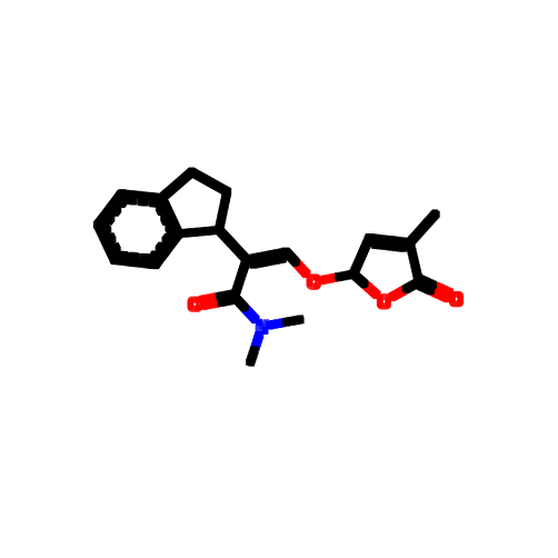 CC1=CC(O/C=C(\C(=O)N(C)C)C2CCc3ccccc32)OC1=O